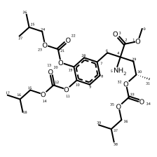 COC(=O)C(N)(Cc1ccc(OC(=O)OCC(C)C)c(OC(=O)OCC(C)C)c1)C[C@H](C)OC(=O)OCC(C)C